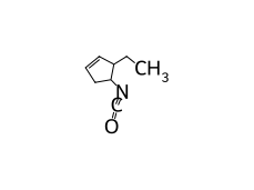 CCC1C=CCC1N=C=O